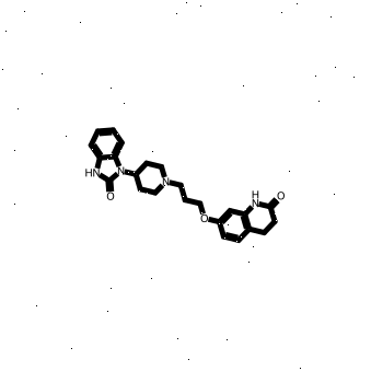 O=C1CCc2ccc(OCCCN3CCC(n4c(=O)[nH]c5ccccc54)CC3)cc2N1